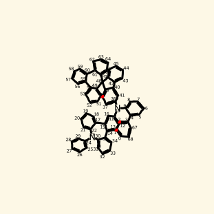 c1ccc(-c2ccccc2N(c2ccc3c(c2)-c2ccccc2N(c2ccccc2)c2ccccc2-3)c2ccc3c(c2)-c2ccccc2C32c3ccccc3-c3ccccc3-c3ccccc32)cc1